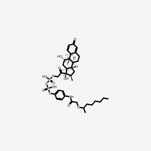 CCCCCCC(C)OCC(=O)Nc1ccc(OP(=O)(O)OP(=O)(O)OCC(=O)[C@@]2(O)[C@H](C)C[C@H]3[C@@H]4CCC5=CC(=O)C=C[C@]5(C)[C@@]4(F)[C@@H](O)C[C@@]32C)cc1